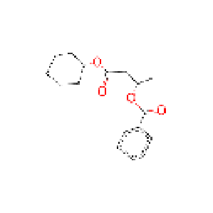 CC(CC(=O)OC1CCCCC1)OC(=O)c1ccccc1